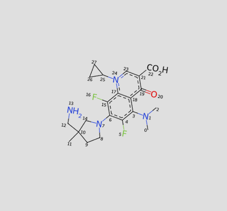 CN(C)c1c(F)c(N2CCC(C)(CN)C2)c(F)c2c1c(=O)c(C(=O)O)cn2C1CC1